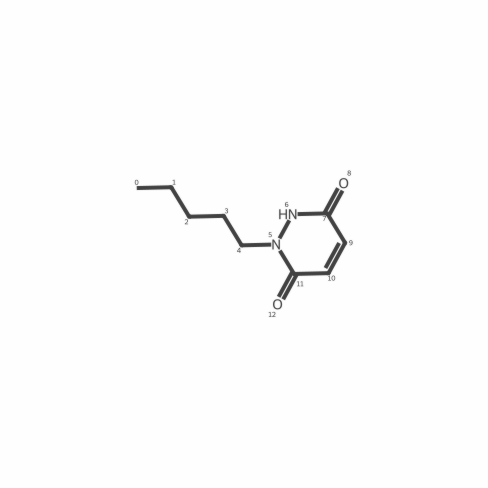 CCCCCn1[nH]c(=O)ccc1=O